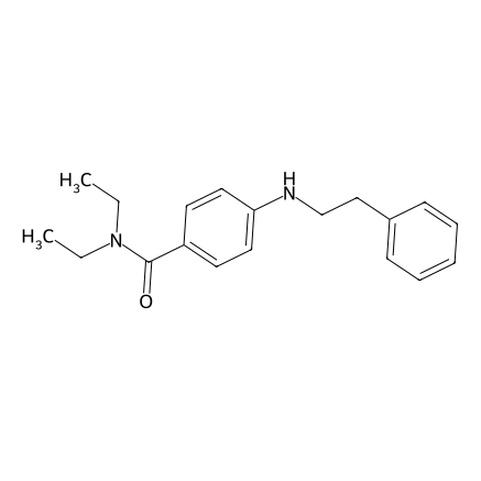 CCN(CC)C(=O)c1ccc(NCCc2ccccc2)cc1